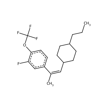 CCCC1CCC(C=C(C)c2ccc(OC(F)(F)F)c(F)c2)CC1